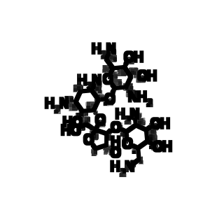 NCC1OC(O[C@H]2[C@H](O)CO[C@]2(CO)O[C@@H]2[C@H](O)[C@H](N)CC(N)[C@H]2O[C@H]2OC(CN)[C@@H](O)[C@H](O)[C@@H]2N)C(N)C(O)C1O